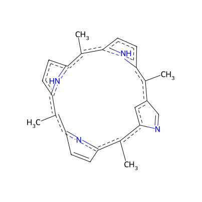 Cc1c2cc(c(C)c3ccc([nH]3)c(C)c3ccc([nH]3)c(C)c3nc1C=C3)C=N2